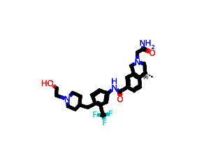 C[C@H]1CN(CC(N)=O)Cc2cc(C(=O)Nc3ccc(CC4CCN(CCO)CC4)c(C(F)(F)F)c3)ccc21